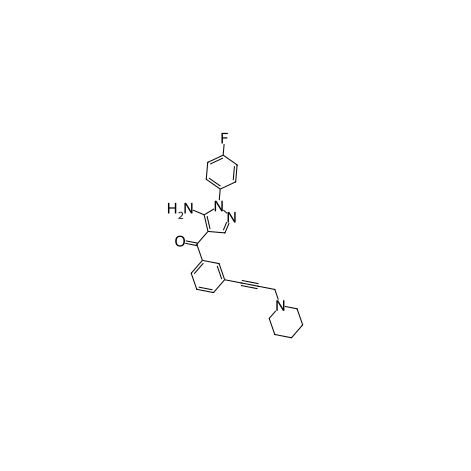 Nc1c(C(=O)c2cccc(C#CCN3CCCCC3)c2)cnn1-c1ccc(F)cc1